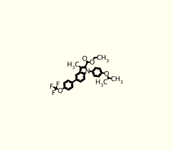 CCOC(=O)c1c(C)c2cc(-c3ccc(OC(F)(F)F)cc3)ccc2n1-c1ccc(OC(C)C)cc1